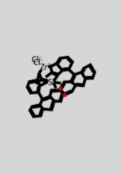 CC1=C2c3c(-c4c5ccccc5cc5ccccc45)cccc3[CH]1[Zr+2][CH]1C(C)=C(c3c(-c4c5ccccc5cc5ccccc45)cccc31)[Si]2(C)C.[Cl-].[Cl-]